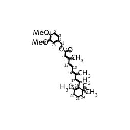 COc1ccc(COC(=O)/C=C(C)/C=C/C=C(C)/C=C/C2=C(C)CCCC2(C)C)cc1OC